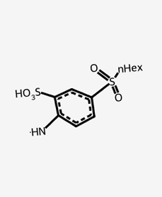 CCCCCCS(=O)(=O)c1ccc([NH])c(S(=O)(=O)O)c1